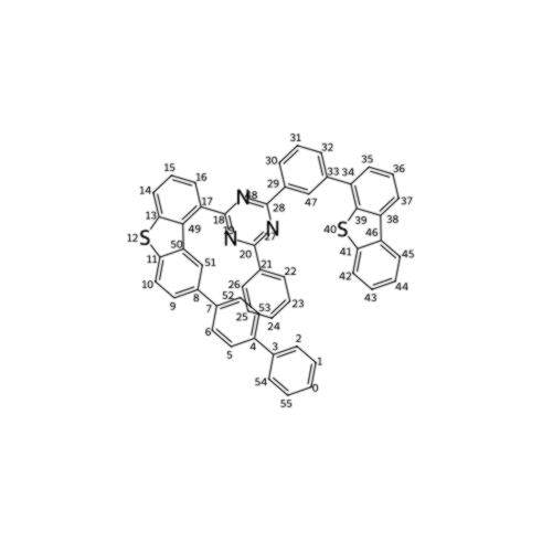 c1ccc(-c2ccc(-c3ccc4sc5cccc(-c6nc(-c7ccccc7)nc(-c7cccc(-c8cccc9c8sc8ccccc89)c7)n6)c5c4c3)cc2)cc1